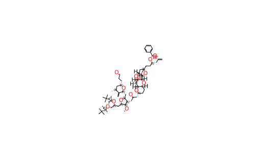 C=C(Br)C[C@H](CC[C@]12C[C@H]3O[C@H]4[C@@H](O1)[C@H]1O[C@@H](CC(=O)C[C@@H]5[C@@H](OC)[C@@H](C[C@@H](CO[Si](C)(C)C(C)(C)C)O[Si](C)(C)C(C)(C)C)O[C@H]5C[C@H]5O[C@@H](CCC=O)C[C@@H](C)C5=C)CC[C@@H]1O[C@H]4[C@H]3O2)OC(=O)c1ccccc1